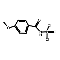 COc1ccc(C(=O)NP(=O)(Cl)Cl)cc1